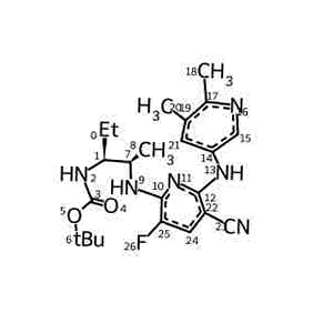 CC[C@H](NC(=O)OC(C)(C)C)[C@@H](C)Nc1nc(Nc2cnc(C)c(C)c2)c(C#N)cc1F